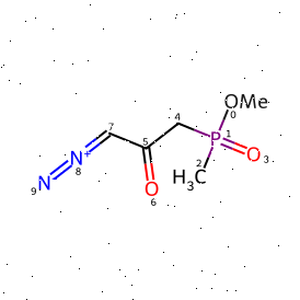 COP(C)(=O)CC(=O)C=[N+]=[N-]